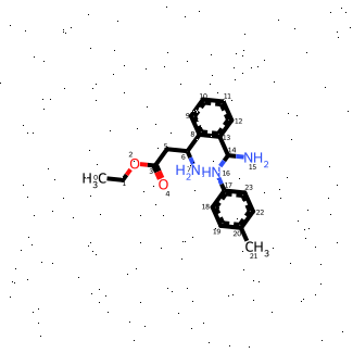 CCOC(=O)CC(N)c1ccccc1C(N)Nc1ccc(C)cc1